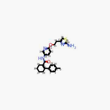 Cc1ccc(C2=C(C(=O)Nc3ccc(OCCc4csc(N)n4)nc3)CCCC2)cc1